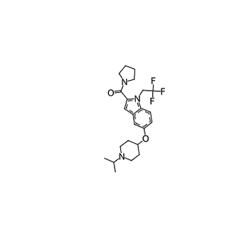 CC(C)N1CCC(Oc2ccc3c(c2)cc(C(=O)N2CCCC2)n3CC(F)(F)F)CC1